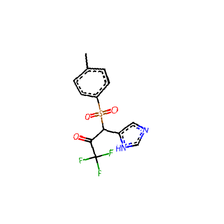 Cc1ccc(S(=O)(=O)C(C(=O)C(F)(F)F)c2cnc[nH]2)cc1